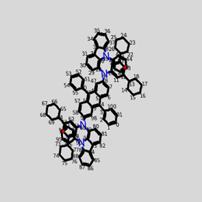 c1ccc(-c2c3ccc(N(c4cc(C5CCCCC5)cc(C5CCCCC5)c4)c4cccc5c6ccccc6n(-c6ccccc6)c45)cc3c(-c3ccccc3)c3ccc(N(c4cc(C5CCCCC5)cc(C5CCCCC5)c4)c4cccc5c6ccccc6n(-c6ccccc6)c45)cc23)cc1